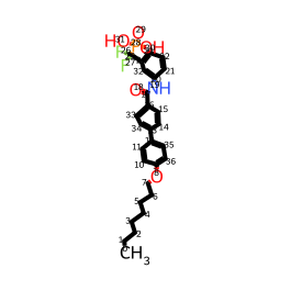 CCCCCCCCOc1ccc(-c2ccc(C(=O)Nc3cccc(C(F)(F)P(=O)(O)O)c3)cc2)cc1